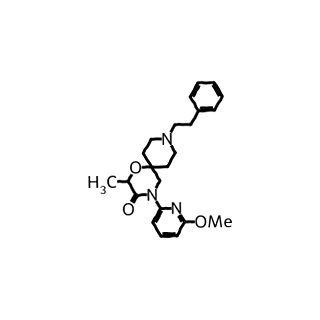 COc1cccc(N2CC3(CCN(CCc4ccccc4)CC3)OC(C)C2=O)n1